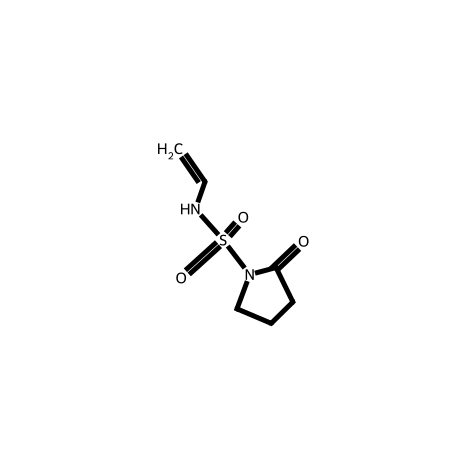 C=CNS(=O)(=O)N1CCCC1=O